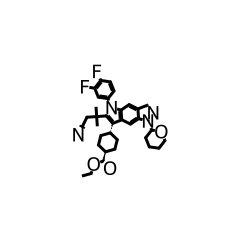 CCOC(=O)[C@H]1CC[C@H](c2c(C(C)(C)CC#N)n(-c3ccc(F)c(F)c3)c3cc4cnn(C5CCCCO5)c4cc32)CC1